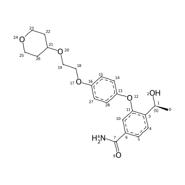 C[C@H](O)c1ccc(C(N)=O)cc1Oc1ccc(OCCOC2CCOCC2)cc1